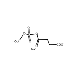 CCCCCCCCOS(=O)(=O)OC(=O)CCC(=O)[O-].[Na+]